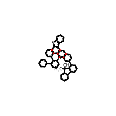 CC1(C)c2ccccc2-c2cccc(-c3cccc(N(c4ccc5sc6ccccc6c5c4)c4cccc(-c5ccccc5)c4-c4ccccc4-c4ccccc4)c3)c21